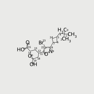 CC(C)(C)CC1CC(c2noc(C(CCC(=O)O)CC(=O)O)c2Br)C1